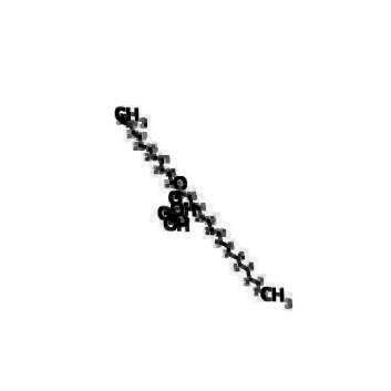 CCCCCCCCCCCCCCCCCC(=O)OCCCCCCCCCCCC.O=S(=O)(O)O